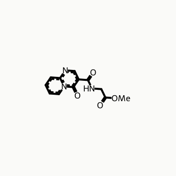 COC(=O)CNC(=O)c1cnc2ccccn2c1=O